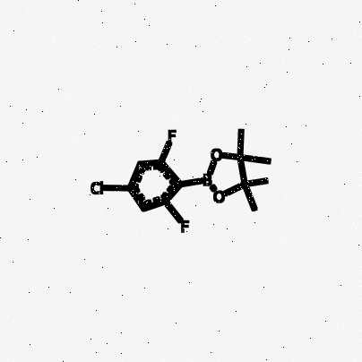 CC1(C)OB(c2c(F)cc(Cl)cc2F)OC1(C)C